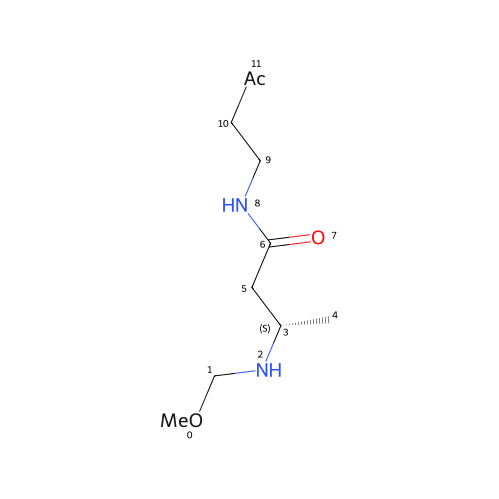 COCN[C@@H](C)CC(=O)NCCC(C)=O